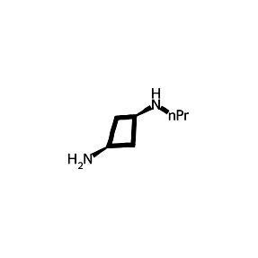 CCCN[C@H]1C[C@@H](N)C1